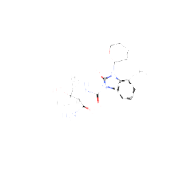 Cc1cccc2c1n(C1CCCCO1)c(=O)n2C(=O)N[C@H](C(N)=O)C(C)(C)O